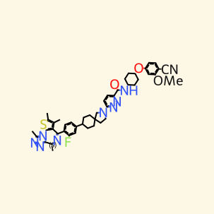 COc1cc(OC2CCC(NC(=O)c3ccc(N4CCC5(CCC(c6ccc(C7=N[C@@H](C)c8nnc(C)n8-c8sc(C)c(C)c87)c(F)c6)CC5)C4)nn3)CC2)ccc1C#N